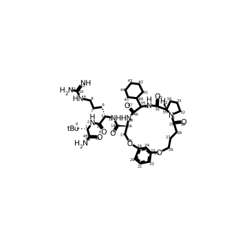 CC(C)(C)[C@H](NC(=O)[C@H](CCCNC(=N)N)NC(=O)[C@@H]1COc2cccc(c2)OCCCC(=O)N2CCC[C@H]2C(=O)NC(C2CCCCC2)C(=O)N1)C(N)=O